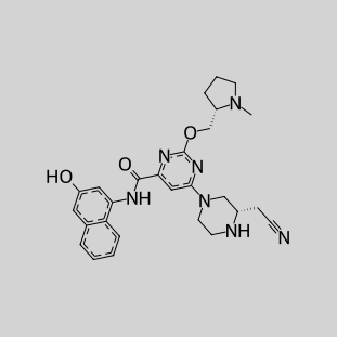 CN1CCC[C@H]1COc1nc(C(=O)Nc2cc(O)cc3ccccc23)cc(N2CCN[C@@H](CC#N)C2)n1